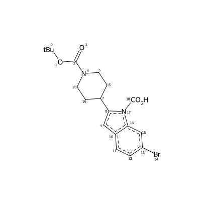 CC(C)(C)OC(=O)N1CCC(c2cc3ccc(Br)cc3n2C(=O)O)CC1